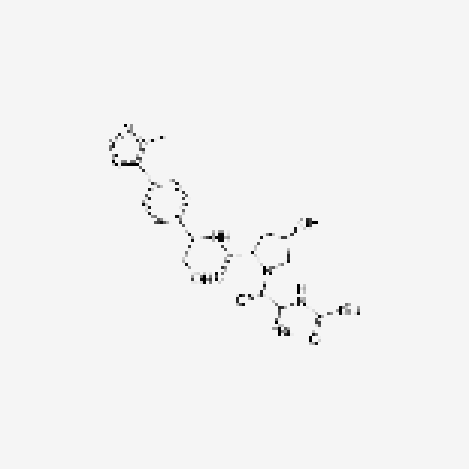 Cc1ncsc1-c1ccc(C(CO)NC(=O)[C@@H]2C[C@@H](O)CN2C(=O)[C@@H](NC(=O)C(C)(C)C)C(C)(C)C)cc1